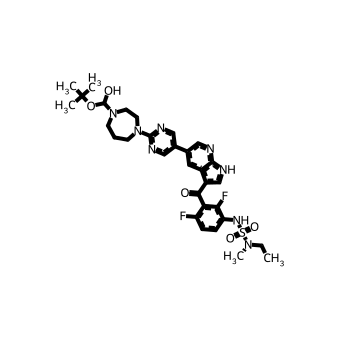 CCN(C)S(=O)(=O)Nc1ccc(F)c(C(=O)c2c[nH]c3ncc(-c4cnc(N5CCCN(C(O)OC(C)(C)C)CC5)nc4)cc23)c1F